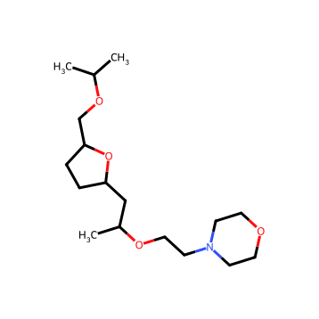 CC(C)OCC1CCC(CC(C)OCCN2CCOCC2)O1